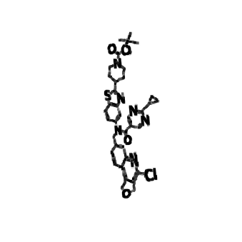 CC(C)(C)OC(=O)N1CCC(c2nc3cc(N(Cc4ccc5c6c(c(Cl)nc5c4)COC6)C(=O)c4cnc(C5CC5)nc4)ccc3s2)CC1